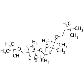 CC(CC(C)(C)C(C)(C)OCCC(C)(C)C)OC(C)(C)C(C)(C)COC(C)(C)C